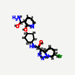 NC(=O)c1cccnc1O[C@H]1CC[C@H](NC(=O)c2nnn3cc(Br)ccc23)CC1